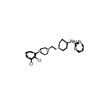 Clc1cccc(N2CCN(CC[C@H]3CC[C@H](Nc4ncccn4)CC3)CC2)c1Cl